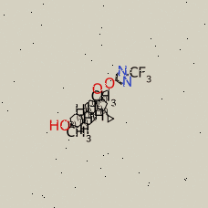 C[C@@]1(O)CC[C@H]2[C@H](CC[C@@H]3[C@@H]2CC[C@@]2(C)[C@H]3[C@H](C3CC3)C[C@@H]2C(=O)COc2cnc(C(F)(F)F)nc2)C1